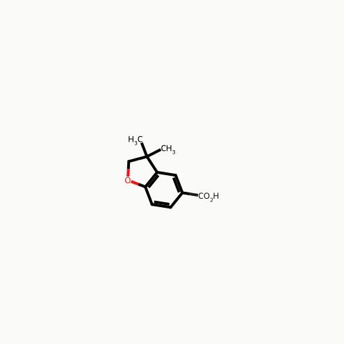 CC1(C)COc2ccc(C(=O)O)cc21